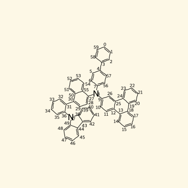 c1ccc(-c2ccc(N(c3ccc4c5ccccc5c5ccccc5c4c3)c3ccc(-c4ccccc4-n4c5ccccc5c5ccccc54)c4ccccc34)cc2)cc1